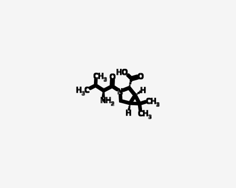 CC(C)[C@H](N)C(=O)N1C[C@H]2[C@@H]([C@H]1C(=O)O)C2(C)C